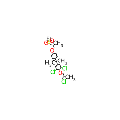 CCS(=O)(=O)C[C@H](C)COc1ccc(C(C)(C)c2cc(Cl)c(OC[C@@H](C)CCl)c(Cl)c2)cc1